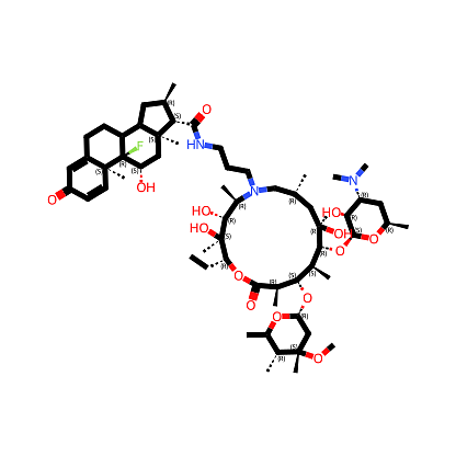 CC[C@H]1OC(=O)[C@H](C)[C@@H](O[C@@H]2C[C@](C)(OC)[C@H](C)C(C)O2)[C@H](C)[C@@H](O[C@@H]2O[C@H](C)C[C@@H](N(C)C)[C@H]2O)[C@](C)(O)C[C@@H](C)CN(CCCNC(=O)[C@H]2[C@H](C)CC3C4CCC5=CC(=O)C=C[C@]5(C)[C@@]4(F)[C@@H](O)C[C@@]32C)[C@H](C)[C@@H](O)[C@]1(C)O